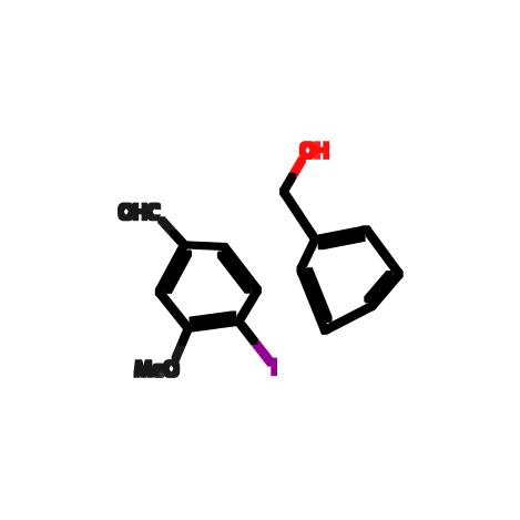 COc1cc(C=O)ccc1I.OCc1ccccc1